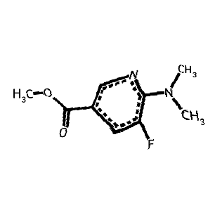 COC(=O)c1cnc(N(C)C)c(F)c1